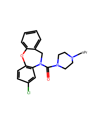 CCCN1CCN(C(=O)N2Cc3ccccc3Oc3ccc(Cl)cc32)CC1